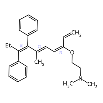 C=C\C(=C/C=C(C)/C(=C(/CC)c1ccccc1)c1ccccc1)OCCN(C)C